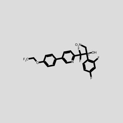 O=[N+]([O-])C[C@](O)(c1ccc(F)cc1F)C(F)(F)c1ccc(-c2ccc(OCC(F)(F)F)cc2)cn1